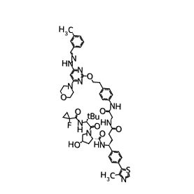 Cc1cccc(/C=N/Nc2cc(N3CCOCC3)nc(OCCc3ccc(NC(=O)CNC(=O)CC[C@H](NC(=O)[C@@H]4C[C@@H](O)CN4C(=O)[C@@H](NC(=O)C4(F)CC4)C(C)(C)C)c4ccc(-c5scnc5C)cc4)cc3)n2)c1